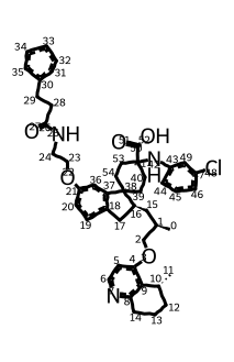 C[C@@H](COc1ccnc2c1[C@H](C)CCC2)C[C@H]1Cc2ccc(OCCNC(=O)CCc3ccccc3)cc2C12CCC(Nc1cccc(Cl)c1)(C(=O)O)CC2